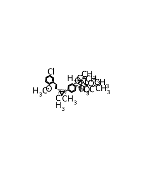 COc1ccc(Cl)cc1C=C[C@@H]1[C@@H](c2ccc(S(=O)(=O)N(C(=O)OC(C)(C)C)C(C)(C)C)cc2)C1(C)C